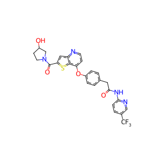 O=C(Cc1ccc(Oc2ccnc3cc(C(=O)N4CCC(O)C4)sc23)cc1)Nc1ccc(C(F)(F)F)cn1